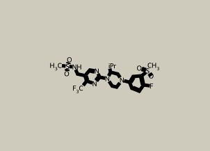 CC(C)C1CN(c2ccc(F)c(S(C)(=O)=O)c2)CCN1c1ncc(CNS(C)(=O)=O)c(C(F)(F)F)n1